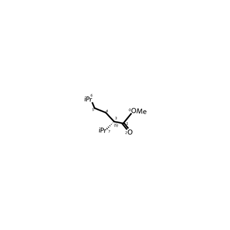 COC(=O)[C@@H](CCC(C)C)C(C)C